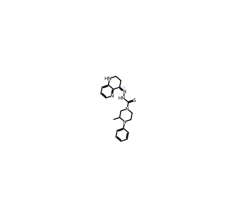 CC1CN(C(=S)N/N=C2/CCNc3cccnc32)CCN1c1ccccc1